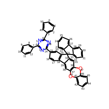 c1ccc(-c2nc(-c3ccccc3)nc(-c3ccc4c(c3)C3(c5ccccc5-c5ccccc53)c3cc5c(cc3-4)Oc3ccccc3O5)n2)cc1